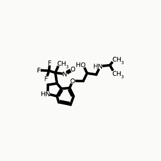 CC(C)NCC(O)COc1cccc2c1C(C(C)(N=O)C(F)(F)F)CN2